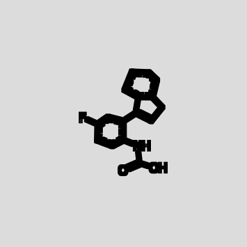 O=C(O)Nc1ccc(F)cc1C1=CCc2ccccc21